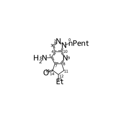 CCCCCn1ncc2c(N)c3c(nc21)CC(CC)C3=O